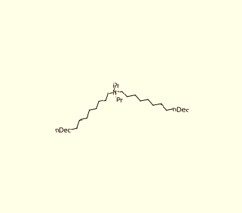 CCCCCCCCCCCCCCCCCC[N+](CCCCCCCCCCCCCCCCCC)(C(C)C)C(C)C